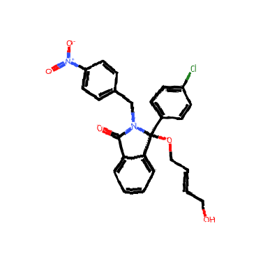 O=C1c2ccccc2C(OCC=CCO)(c2ccc(Cl)cc2)N1Cc1ccc([N+](=O)[O-])cc1